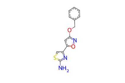 Nc1nc(-c2cc(OCc3ccccc3)no2)cs1